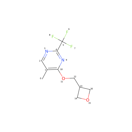 Cc1cnc(C(F)(F)F)nc1OCC1COC1